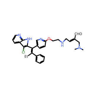 CC/C(=C(/c1ccc(OCCNC/C=C(\C=O)CN(C)C)nc1)c1[nH]c2ncccc2c1Cl)c1ccccc1